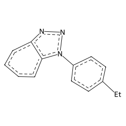 CCc1ccc(-n2nnc3ccccc32)cc1